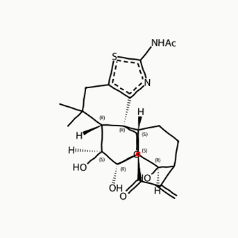 C=C1C(=O)[C@]23[C@H](O)C1CC[C@H]2[C@@]12CO[C@@]3(O)[C@@H](O)[C@@H]1C(C)(C)Cc1sc(NC(C)=O)nc12